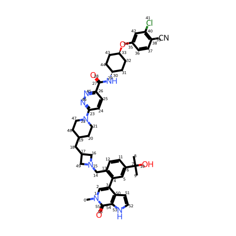 Cn1cc(-c2cc(C(C)(C)O)ccc2CN2CC(CC3CCN(c4ccc(C(=O)N[C@H]5CC[C@H](Oc6ccc(C#N)c(Cl)c6)CC5)nn4)CC3)C2)c2cc[nH]c2c1=O